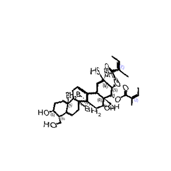 B[C@]12CC[C@H](O)[C@H](CO)C1CC[C@]1(B)C2CC=C2C3C[C@@](B)(S)[C@@H](OC(=O)/C(C)=C\C)[C@H](OC(=O)/C(C)=C\C)[C@]3(CO)[C@H](O)C[C@]21B